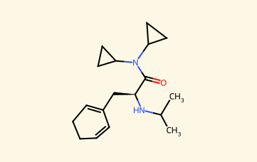 CC(C)N[C@@H](CC1=CCCC=C1)C(=O)N(C1CC1)C1CC1